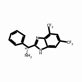 N[C@H](c1ccccc1)c1nc2c(C(F)(F)F)cc(C(F)(F)F)cc2[nH]1